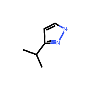 CC(C)C1=N[N]C=C1